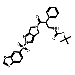 CC(C)(C)OC(=O)NCC(C(=O)N1Cc2cn(S(=O)(=O)c3ccc4ncsc4c3)nc2C1)c1ccccc1